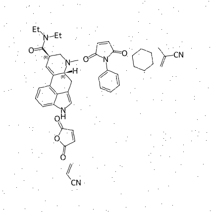 C=C(C)C#N.C=CC#N.CCN(CC)C(=O)[C@@H]1C=C2c3cccc4[nH]cc(c34)C[C@H]2N(C)C1.O=C1C=CC(=O)N1c1ccccc1.O=C1C=CC(=O)O1.[CH]1CCCCC1